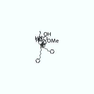 C=CCN1CC[C@]23c4c5c(O)cc(OC)c4O[C@H]2[C@H](N(CCCCCCc2ccccc2)CCCCc2ccccc2)CC[C@H]3[C@H]1C5